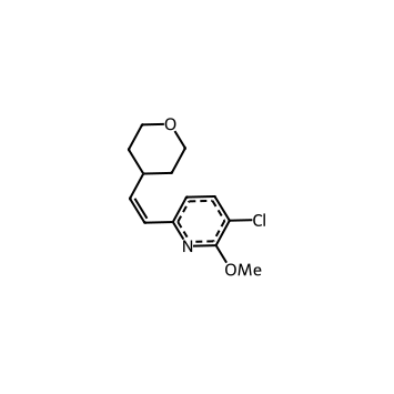 COc1nc(/C=C\C2CCOCC2)ccc1Cl